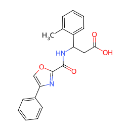 Cc1ccccc1C(CC(=O)O)NC(=O)c1nc(-c2ccccc2)co1